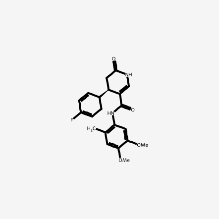 COc1cc(C)c(NC(=O)C2=CNC(=O)C[C@@H]2C2C=CC(F)=CC2)cc1OC